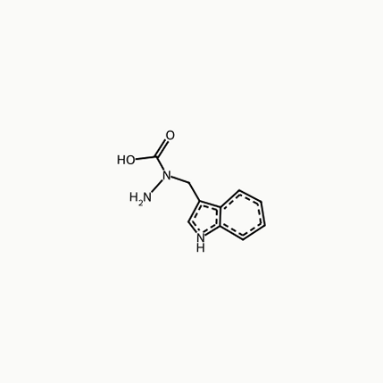 NN(Cc1c[nH]c2ccccc12)C(=O)O